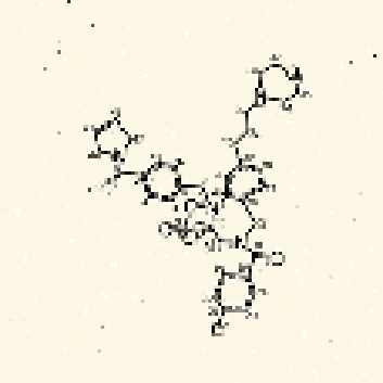 O=C(c1ccc(C[N+]2(OC(=O)C(F)(F)F)C(=O)CN(C(=O)c3ccc(Cl)cc3)Cc3ccc(CCCN4CCOCC4)cc32)cc1)N1CC=CC1